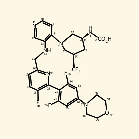 O=C(O)N[C@H]1C[C@@H](C(F)(F)F)CN(c2ccncc2NCc2ccc(F)c(-c3c(F)cc(N4CCOCC4)cc3F)n2)C1